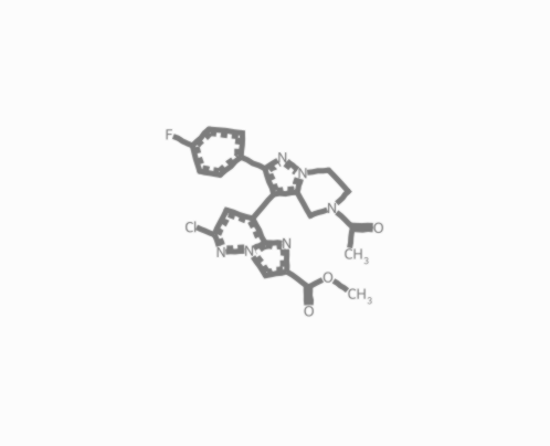 COC(=O)c1cn2nc(Cl)cc(-c3c(-c4ccc(F)cc4)nn4c3CN(C(C)=O)CC4)c2n1